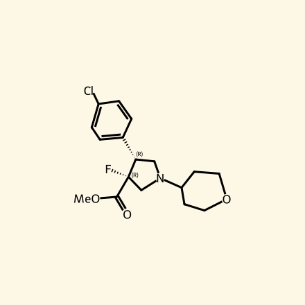 COC(=O)[C@]1(F)CN(C2CCOCC2)C[C@H]1c1ccc(Cl)cc1